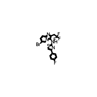 Fc1ccc(-c2csc(Nc3c(CC(F)(F)F)nc4ccc(Br)cn34)n2)cc1